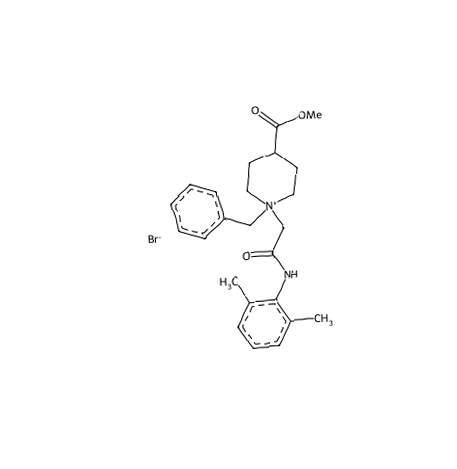 COC(=O)C1CC[N+](CC(=O)Nc2c(C)cccc2C)(Cc2ccccc2)CC1.[Br-]